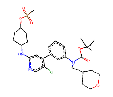 CC(C)(C)OC(=O)N(CC1CCOCC1)c1cccc(-c2cc(NC3CCC(OS(C)(=O)=O)CC3)ncc2Cl)c1